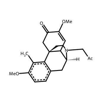 COC1=CC2[C@@H]3Cc4ccc(OC)c(C)c4[C@]2(CCN3CC(C)=O)CC1=O